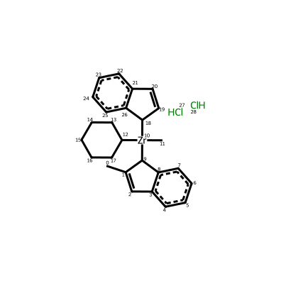 CC1=Cc2ccccc2[CH]1[Zr]([CH3])([CH]1CCCCC1)[CH]1C=Cc2ccccc21.Cl.Cl